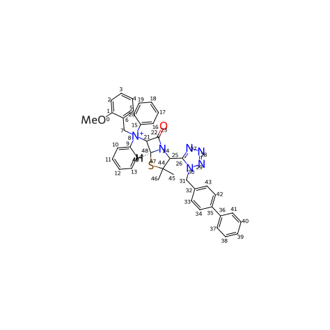 COc1ccccc1C[N+](c1ccccc1)(c1ccccc1)C1C(=O)N2C(c3nnnn3Cc3ccc(-c4ccccc4)cc3)C(C)(C)S[C@@H]12